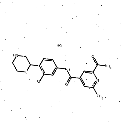 Cc1cc(C(=O)Nc2ccc(C3CNCCO3)c(Cl)c2)cc(C(N)=O)n1.Cl